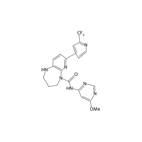 COc1cc(NC(=O)N2CCCNc3ccc(-c4ccnc(C(F)(F)F)c4)nc32)ncn1